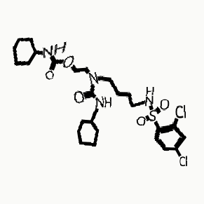 O=C(NC1CCCCC1)OCCN(CCCCNS(=O)(=O)c1ccc(Cl)cc1Cl)C(=O)NC1CCCCC1